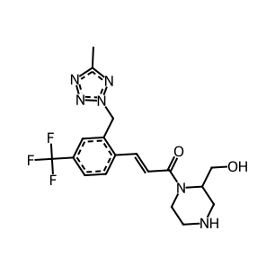 Cc1nnn(Cc2cc(C(F)(F)F)ccc2C=CC(=O)N2CCNCC2CO)n1